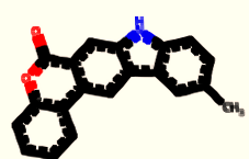 Cc1ccc2[nH]c3cc4c(=O)oc5ccccc5c4cc3c2c1